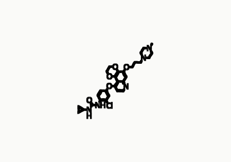 CN1CCN(CCCOc2cc3nccc(Oc4ccc(NC(=O)NC5CC5)c(Cl)c4)c3c3c2OCCO3)CC1